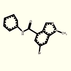 Cn1ncc2c(C(=O)Nc3ccccc3)cc(Br)cc21